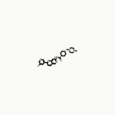 CN1CCN(C[C@H]2CC[C@H](C(=O)Nc3cc4nc(-c5cncc(F)c5)ccc4cn3)CC2)CC1